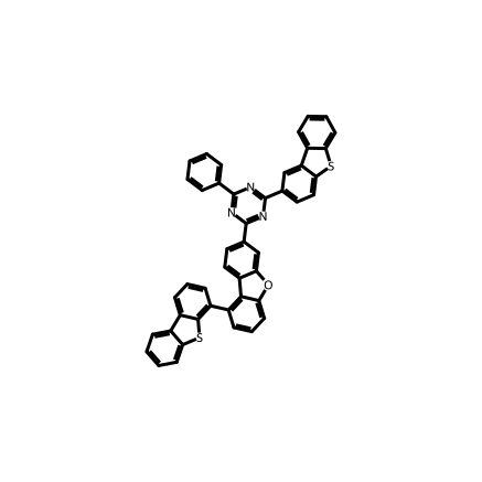 c1ccc(-c2nc(-c3ccc4c(c3)oc3cccc(-c5cccc6c5sc5ccccc56)c34)nc(-c3ccc4sc5ccccc5c4c3)n2)cc1